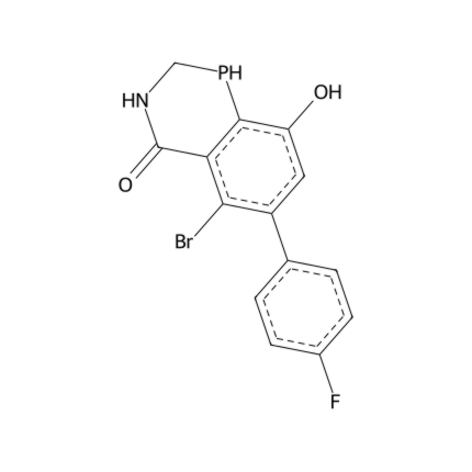 O=C1NCPc2c(O)cc(-c3ccc(F)cc3)c(Br)c21